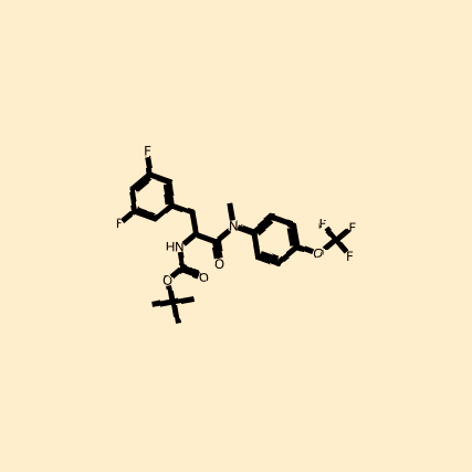 CN(C(=O)C(Cc1cc(F)cc(F)c1)NC(=O)OC(C)(C)C)c1ccc(OC(F)(F)F)cc1